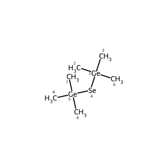 [CH3][Ge]([CH3])([CH3])[Se][Ge]([CH3])([CH3])[CH3]